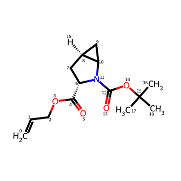 C=CCOC(=O)[C@@H]1C[C@H]2CC2N1C(=O)OC(C)(C)C